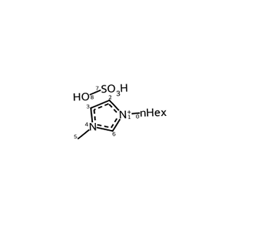 CCCCCC[n+]1ccn(C)c1.O=S(=O)(O)O